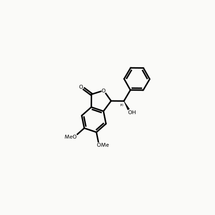 COc1cc2c(cc1OC)C([C@H](O)c1ccccc1)OC2=O